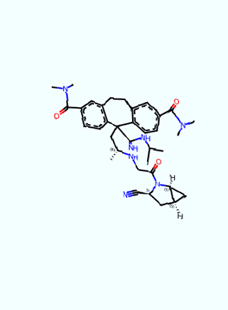 CC(C)NC(=N)C1(C[C@@H](C)NCC(=O)N2[C@H](C#N)C[C@@H]3C[C@@H]32)c2ccc(C(=O)N(C)C)cc2CCc2cc(C(=O)N(C)C)ccc21